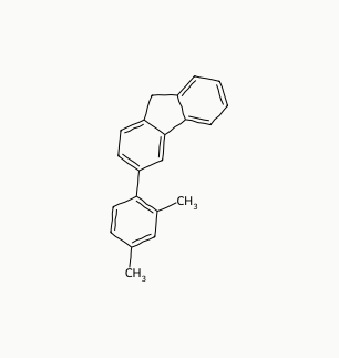 Cc1ccc(-c2ccc3c(c2)-c2ccccc2C3)c(C)c1